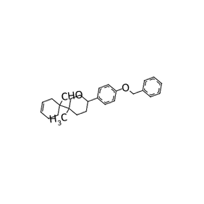 CC1(C2(C=O)CC=CCC2)CCC(c2ccc(OCc3ccccc3)cc2)CC1